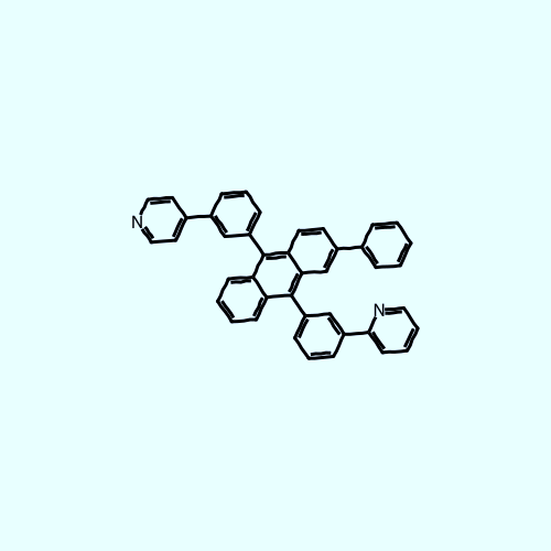 c1ccc(-c2ccc3c(-c4cccc(-c5ccncc5)c4)c4ccccc4c(-c4cccc(-c5ccccn5)c4)c3c2)cc1